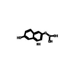 OB(O)Oc1ccc2cc(O)ccc2c1.[KH]